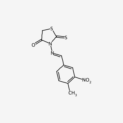 Cc1ccc(/C=N/N2C(=O)CSC2=S)cc1[N+](=O)[O-]